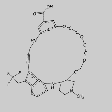 CN1CCC2Nc3cccc4c(CC(F)(F)F)c(sc34)C#CCNc3cc(cc(C(=O)O)c3)OCCOCCOCCC2C1